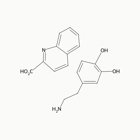 NCCc1ccc(O)c(O)c1.O=C(O)c1ccc2ccccc2n1